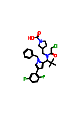 CC(C)(C)C(c1cc(-c2cc(F)ccc2F)cn1Cc1ccccc1)N(CC1CCN(C(=O)O)C1)C(=O)CCl